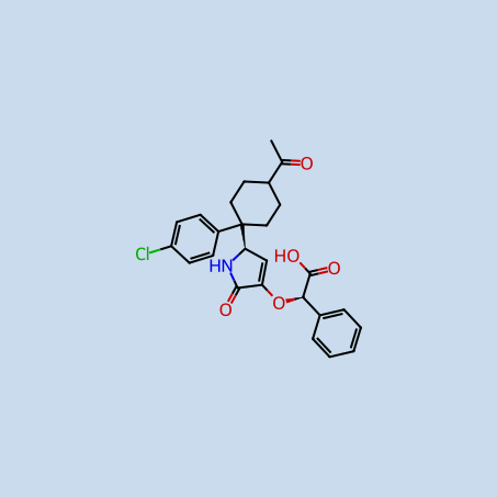 CC(=O)C1CCC(c2ccc(Cl)cc2)([C@H]2C=C(O[C@@H](C(=O)O)c3ccccc3)C(=O)N2)CC1